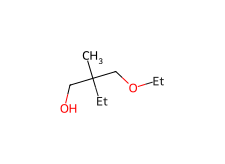 CCOCC(C)(CC)CO